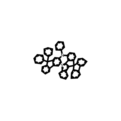 c1ccc(N(c2ccc3c(c2)C(c2ccccc2)(c2ccccc2)c2ccccc2-3)c2cccc3c2-c2sc4ccccc4c2C32c3ccccc3-c3ccccc32)cc1